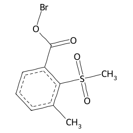 Cc1cccc(C(=O)OBr)c1S(C)(=O)=O